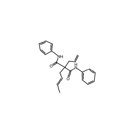 C=CCC(C/C=C/C)(C(=O)Nc1ccccc1)C(=O)Nc1ccccc1